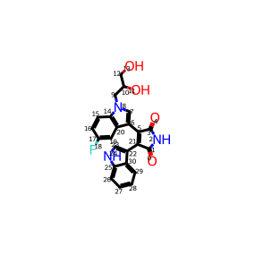 O=C1NC(=O)C(c2cn(CC(O)CO)c3ccc(F)cc23)=C1c1c[nH]c2ccccc12